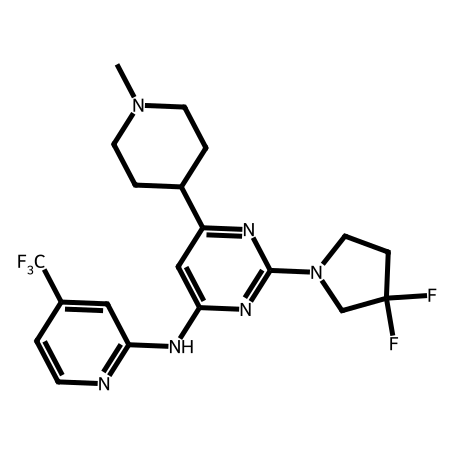 CN1CCC(c2cc(Nc3cc(C(F)(F)F)ccn3)nc(N3CCC(F)(F)C3)n2)CC1